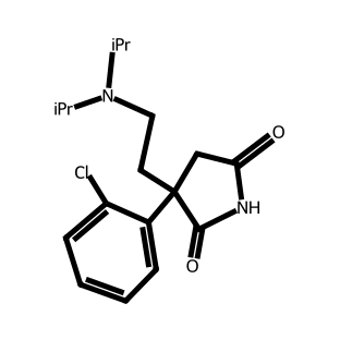 CC(C)N(CCC1(c2ccccc2Cl)CC(=O)NC1=O)C(C)C